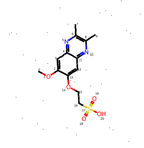 COc1cc2nc(C)c(C)nc2cc1OCCS(=O)(=O)O